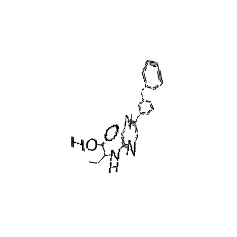 CCC(Nc1cnc(-c2cccc(Cc3ccccc3)c2)cn1)C(=O)O